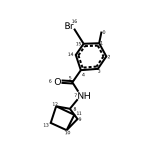 Cc1ccc(C(=O)NC2CC3CC2C3)cc1Br